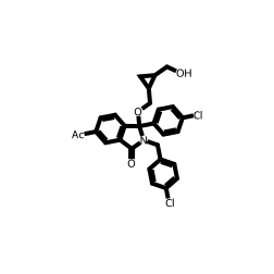 CC(=O)c1ccc2c(c1)C(=O)N(Cc1ccc(Cl)cc1)C2(OCC1CC1CO)c1ccc(Cl)cc1